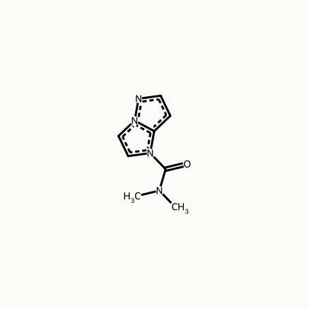 CN(C)C(=O)n1ccn2nccc12